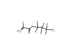 C=C(F)C(=O)OC(F)(F)C(F)(F)C(F)(F)C(F)(F)F